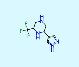 FC(F)(F)C1CNCC(c2cn[nH]c2)N1